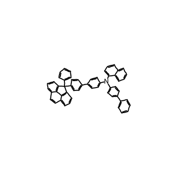 c1ccc(-c2ccc(N(c3ccc(-c4ccc(C5(c6ccccc6)c6cccc7ccc8cccc5c8c67)cc4)cc3)c3cccc4ccccc34)cc2)cc1